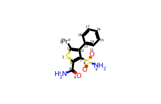 CC(C)c1sc(C(N)=O)c(S(N)(=O)=O)c1-c1ccccc1